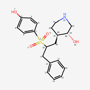 O=S(=O)(c1ccc(O)cc1)C(Cc1ccccc1)C[C@H]1CCNC[C@@H]1O